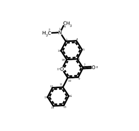 CN(C)c1ccc2c(=O)cc(-c3ccccc3)oc2c1